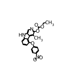 CCOC(=O)Oc1ncc2[nH]c3cccc(Oc4ccc([N+](=O)[O-])cc4)c3c2c1C